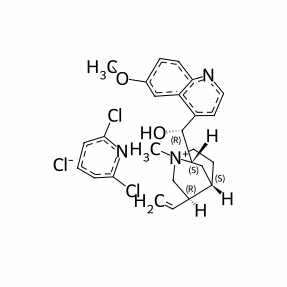 C=C[C@H]1C[N+]2(C)CC[C@H]1C[C@H]2[C@H](O)c1ccnc2ccc(OC)cc12.Clc1cccc(Cl)n1.[Cl-]